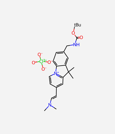 CN(C)C=Cc1cc[n+]2c(c1)C(C)(C)c1cc(CNC(=O)OC(C)(C)C)ccc1-2.[O-][Cl+3]([O-])([O-])[O-]